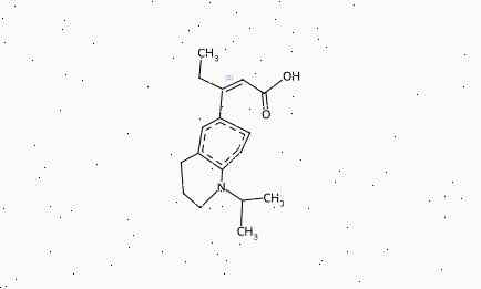 CC/C(=C/C(=O)O)c1ccc2c(c1)CCCN2C(C)C